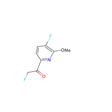 COc1nc(C(=O)CF)[c]cc1F